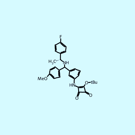 COc1ccc(C(N[C@H](C)c2ccc(F)cc2)c2cccc(Nc3c(OC(C)(C)C)c(=O)c3=O)c2)cc1